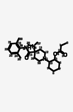 CCC(=O)OC1CCCCC1N1CCC(C(=O)Nc2c(C)cccc2C)(N(C)C)CC1